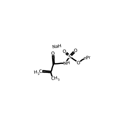 C=C(C)C(=O)NS(=O)(=O)OCCC.[NaH]